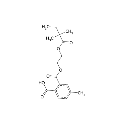 CCC(C)(C)C(=O)OCCOC(=O)c1cc(C)ccc1C(=O)O